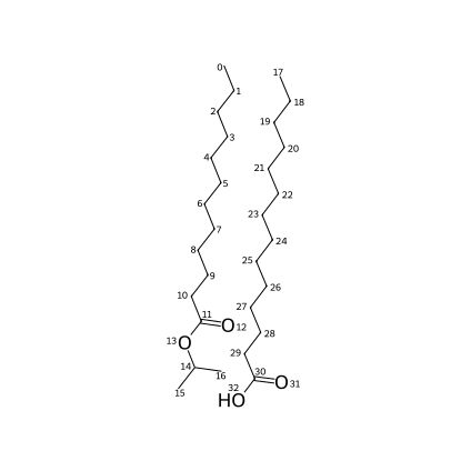 CCCCCCCCCCCC(=O)OC(C)C.CCCCCCCCCCCCCC(=O)O